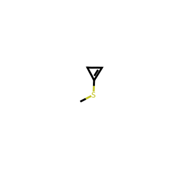 CSC1=CC1